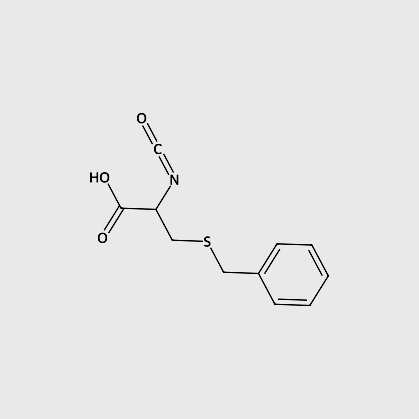 O=C=NC(CSCc1ccccc1)C(=O)O